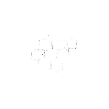 CC1(C)C2CCC1(C)C(c1ccccc1N(c1ccccc1)C1CC3CCC1(C)C3(C)C)C2